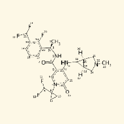 C[C@@H](NC(=O)c1cn(C2(C(F)F)CC2)c(=O)cc1NC1[C@H]2CN(C)C[C@@H]12)c1cccc(C(F)F)c1F